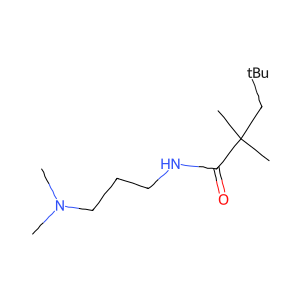 CN(C)CCCNC(=O)C(C)(C)CC(C)(C)C